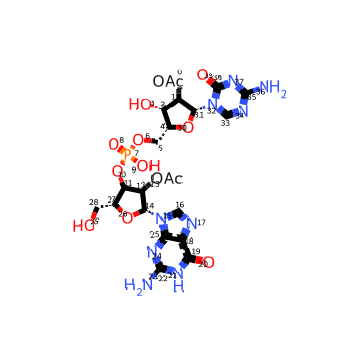 CC(=O)OC1[C@@H](O)[C@@H](COP(=O)(O)OC2C(OC(C)=O)[C@H](n3cnc4c(=O)[nH]c(N)nc43)O[C@@H]2CO)O[C@H]1n1cnc(N)nc1=O